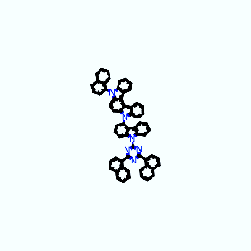 c1ccc2c(-c3nc(-c4cccc5ccccc45)nc(-n4c5ccccc5c5c(-n6c7ccccc7c7c8c9ccccc9n(-c9cccc%10ccccc9%10)c8ccc76)cccc54)n3)cccc2c1